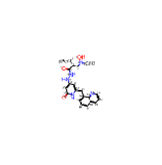 CCCCC[C@H](CN(O)C=O)C(=O)NNc1cc(Cc2cccc3cccnc23)[nH]c(=O)c1